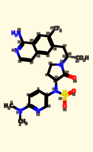 CN(C)c1ccc(N([C@H]2CCN([C@H](Cc3cc4ccnc(N)c4cc3C(F)(F)F)C(=O)O)C2=O)[SH](=O)=O)cn1